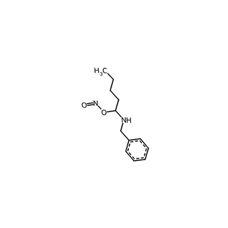 CCCCC(NCc1ccccc1)ON=O